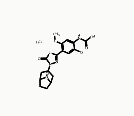 COc1cc(NC(=O)O)c(Cl)cc1-c1nn(C2CC3CCC(C2)N3C)c(=O)o1.Cl